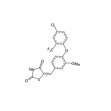 COc1cc(/C=C2/SC(=O)NC2=O)ccc1Oc1ccc(Cl)cc1C(F)(F)F